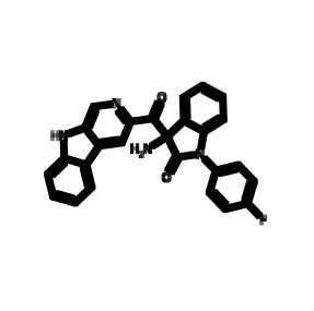 NC1(C(=O)c2cc3c(cn2)[nH]c2ccccc23)C(=O)N(c2ccc(F)cc2)c2ccccc21